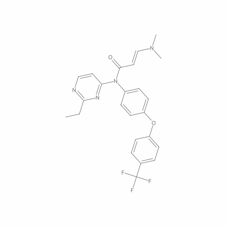 CCc1nccc(N(C(=O)C=CN(C)C)c2ccc(Oc3ccc(C(F)(F)F)cc3)cc2)n1